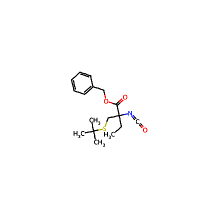 CCC(CSC(C)(C)C)(N=C=O)C(=O)OCc1ccccc1